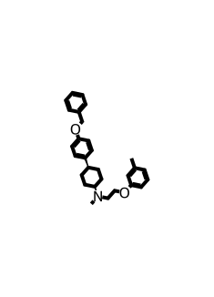 Cc1cccc(OCCN(C)[C@H]2CC[C@H](c3ccc(OCc4ccccc4)cc3)CC2)c1